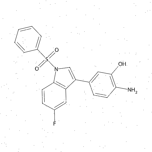 Nc1ccc(-c2cn(S(=O)(=O)c3ccccc3)c3ccc(F)cc23)cc1O